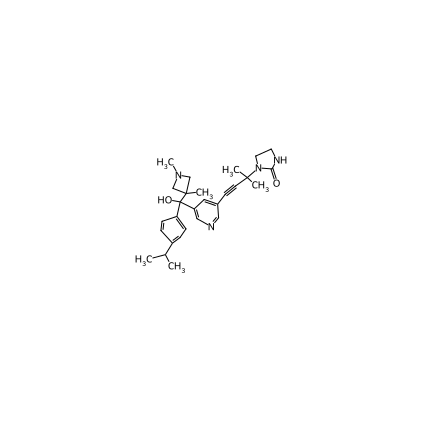 CC(C)c1ccc(C(O)(c2cncc(C#CC(C)(C)N3CCNC3=O)c2)C2(C)CN(C)C2)cc1